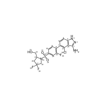 Nc1n[nH]c2ccc(-c3ccc(S(=O)(=O)N4CC(F)(F)CC4CO)cc3F)c(Cl)c12